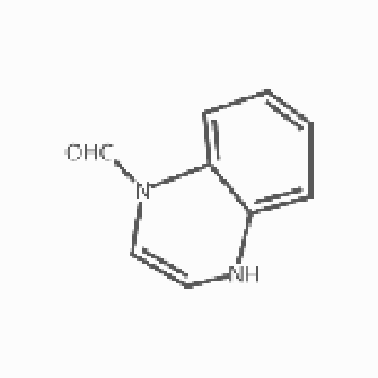 O=CN1C=CNc2ccccc21